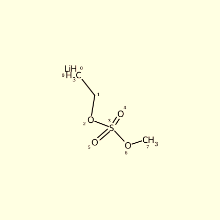 CCOS(=O)(=O)OC.[LiH]